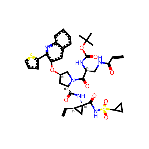 C=CC(=O)NC[C@H](NC(=O)OC(C)(C)C)C(=O)N1C[C@H](Oc2cc3ccccc3nc2-c2cccs2)C[C@H]1C(=O)N[C@]1(C(=O)NS(=O)(=O)C2CC2)C[C@H]1C=C